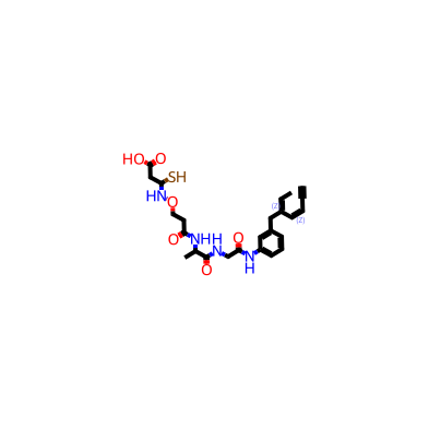 C#C/C=C\C(=C/C)Cc1cccc(NC(=O)CNC(=O)C(C)NC(=O)CCONC(S)CC(=O)O)c1